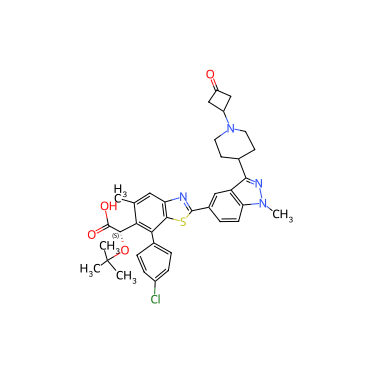 Cc1cc2nc(-c3ccc4c(c3)c(C3CCN(C5CC(=O)C5)CC3)nn4C)sc2c(-c2ccc(Cl)cc2)c1[C@H](OC(C)(C)C)C(=O)O